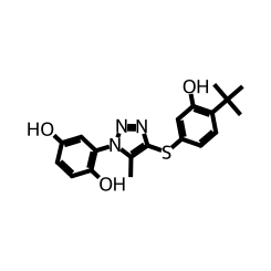 Cc1c(Sc2ccc(C(C)(C)C)c(O)c2)nnn1-c1cc(O)ccc1O